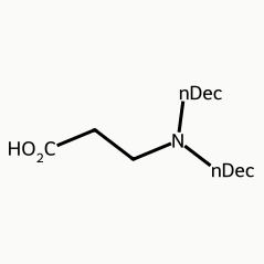 CCCCCCCCCCN(CCCCCCCCCC)CCC(=O)O